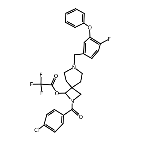 O=C(c1ccc(Cl)cc1)N1CC2(CCN(Cc3ccc(F)c(Oc4ccccc4)c3)CC2)C1OC(=O)C(F)(F)F